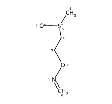 C=NOCC[S+](C)[O-]